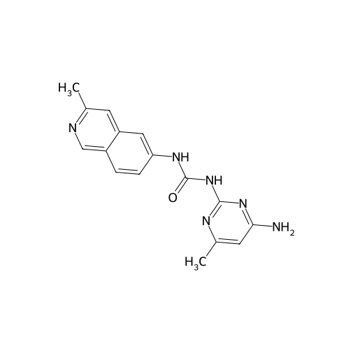 Cc1cc2cc(NC(=O)Nc3nc(C)cc(N)n3)ccc2cn1